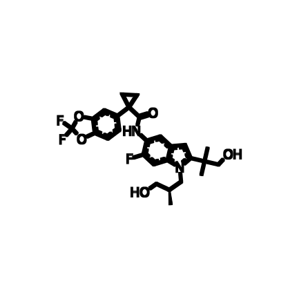 C[C@@H](CO)Cn1c(C(C)(C)CO)cc2cc(NC(=O)C3(c4ccc5c(c4)OC(F)(F)O5)CC3)c(F)cc21